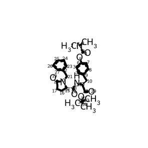 CN(C)C(=O)Oc1ccc(C[C@H](NC(=O)[C@@H]2CCC(=O)N2Cc2ccccc2)C(=O)OC(C)(C)C)cc1